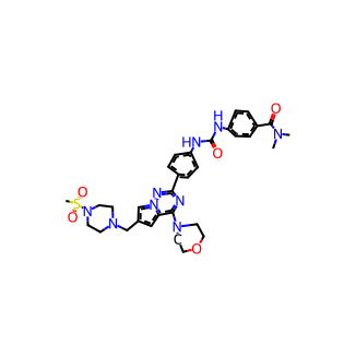 CN(C)C(=O)c1ccc(NC(=O)Nc2ccc(-c3nc(N4CCOCC4)c4cc(CN5CCN(S(C)(=O)=O)CC5)cn4n3)cc2)cc1